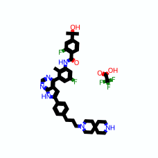 Cc1c(NC(=O)c2ccc(C(C)(C)O)cc2F)cc(F)cc1-c1ncnc2[nH]c(-c3ccc(CCCN4CCC5(CCNCC5)CC4)cc3)cc12.O=C(O)C(F)(F)F